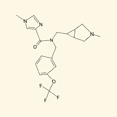 CN1CC2C(C1)C2CN(Cc1cccc(OC(F)(F)F)c1)C(=O)c1cn(C)cn1